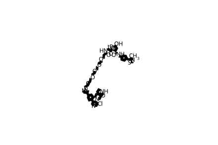 Cc1ncsc1-c1ccc(CNC(=O)[C@@H]2C[C@@H](O)CN2C(=O)[C@@H](NC(=O)CCOCCOCCOCCOCCOCCn2cc(-c3ccc(-c4cncc(Cl)c4N4CCC5(CCNC5=O)CC4)cc3)cn2)C(C)(C)C)cc1